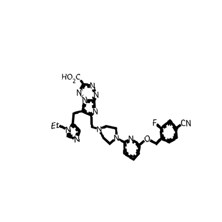 CCn1cncc1Cc1c(CN2CCN(c3cccc(OCc4ccc(C#N)cc4F)n3)CC2)nc2nnc(C(=O)O)nn12